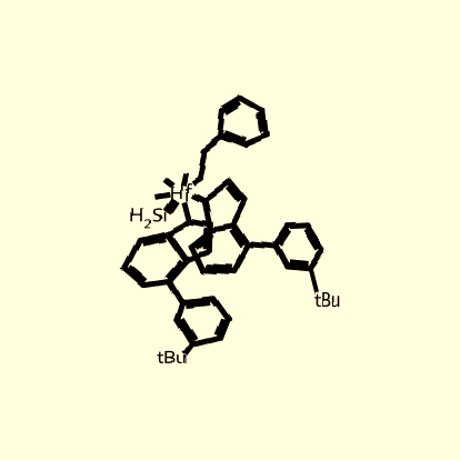 CC(C)(C)c1cccc(-c2cccc3c2C=C[CH]3[Hf]([CH3])([CH3])([CH3])(=[SiH2])([CH2]Cc2ccccc2)[CH]2C=Cc3c(-c4cccc(C(C)(C)C)c4)cccc32)c1